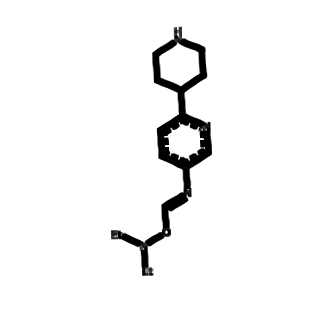 CCN(CC)OC=Nc1ccc(C2CCNCC2)nc1